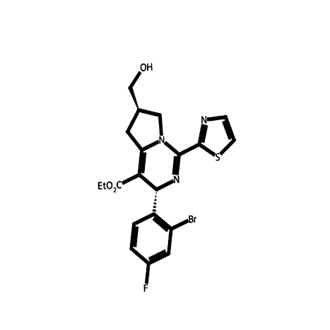 CCOC(=O)C1=C2C[C@@H](CO)CN2C(c2nccs2)=N[C@@H]1c1ccc(F)cc1Br